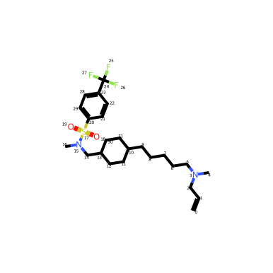 C=CCN(C)CCCCCC1CCC(CN(C)S(=O)(=O)c2ccc(C(F)(F)F)cc2)CC1